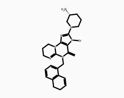 C=C1c2c(nc(N3CCC[C@@H](N)C3)n2CC)N2CCCN=C2N1Cc1cccc2c1C=CCC2